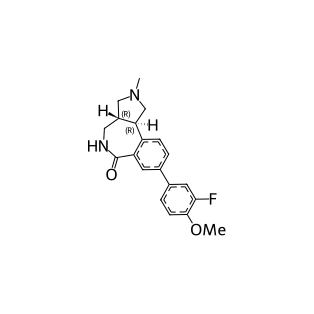 COc1ccc(-c2ccc3c(c2)C(=O)NC[C@@H]2CN(C)C[C@@H]32)cc1F